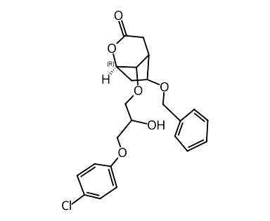 O=C1CC2C(OCc3ccccc3)C[C@@H](O1)C2OCC(O)COc1ccc(Cl)cc1